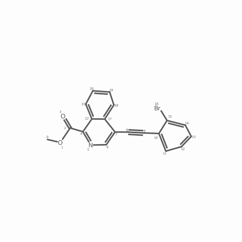 COC(=O)c1ncc(C#Cc2ccccc2Br)c2ccccc12